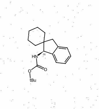 CC(C)(C)OC(=O)N[C@@H]1c2ccccc2CC12CCCCC2